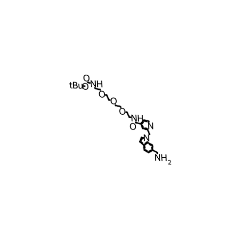 CC(C)(C)OC(=O)NCCOCCOCCOCCNC(=O)c1ccnc(Cn2ccc3ccc(CN)cc32)c1